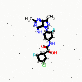 Cc1nc(N)c2c(n1)c(C)nn2-c1ccc(NC(=O)C(O)c2cc(F)cc(Cl)c2)cc1F